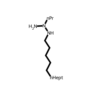 CCCCCCCCCCCCNN(N)CCC